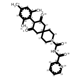 Cc1cc(C)c(C2C(=O)CC3(CCN(C(=O)NC(=O)c4ccccn4)CC3)CC2=O)c(C)c1